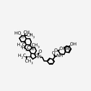 C=C(C)[C@@H]1CC[C@]2(C(=O)NCCc3cccc(C(=O)NC(Cc4ccc(O)cc4)C(=O)OC)c3)CC[C@]3(C)C(CCC4[C@@]5(C)CC[C@H](O)C(C)(C)C5CC[C@]43C)C12